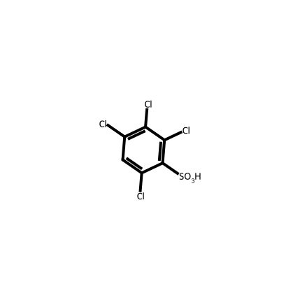 O=S(=O)(O)c1c(Cl)cc(Cl)c(Cl)c1Cl